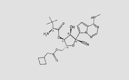 CNc1ncnn2c([C@]3(C#N)O[C@H](COC(=O)CC4CCC4)[C@@H](OC(=O)[C@@H](N)C(C)(C)C)[C@H]3O)ccc12